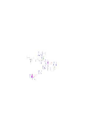 Cc1cc(N)nc(-c2ncc3c(N(C)CC4CN(C/C=C/c5nc(C6CC6)no5)C4)nc(OC[C@@]45CCCN4C[C@H](F)C5)nc3c2F)c1C(F)(F)F